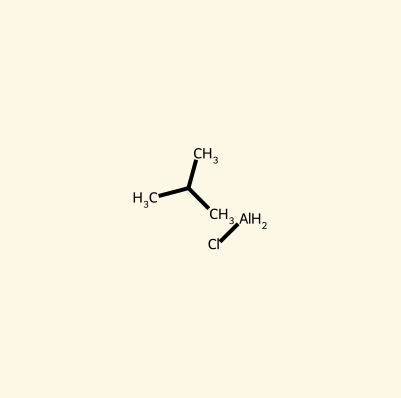 CC(C)C.[AlH2][Cl]